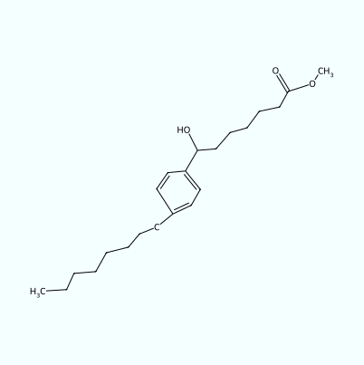 CCCCCCCCc1ccc(C(O)CCCCCC(=O)OC)cc1